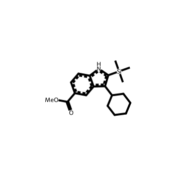 COC(=O)c1ccc2[nH]c([Si](C)(C)C)c(C3CCCCC3)c2c1